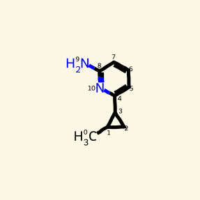 CC1CC1c1cccc(N)n1